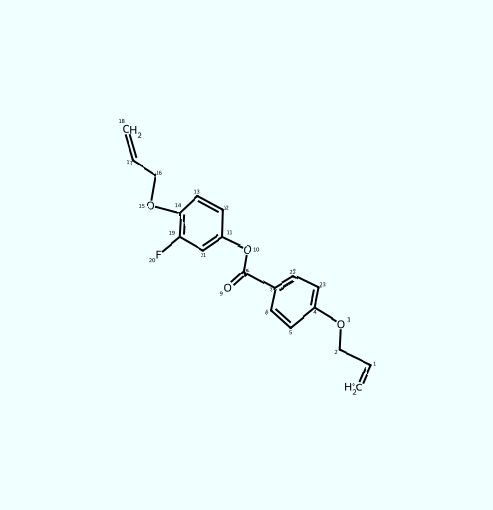 C=CCOc1ccc(C(=O)Oc2ccc(OCC=C)c(F)c2)cc1